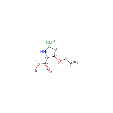 C=CCOC1CCNC1C(=O)OC.Cl